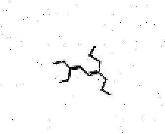 CCCC(=CC=C(CC)CC)CCC